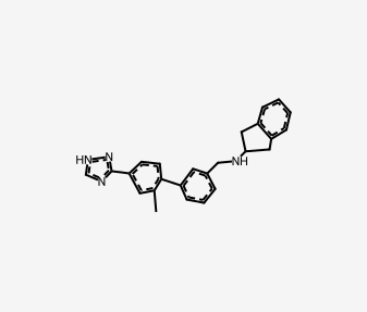 Cc1cc(-c2nc[nH]n2)ccc1-c1cccc(CNC2Cc3ccccc3C2)c1